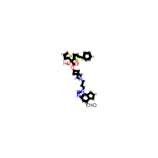 O=CC1=Cc2nnn(CCCN3CC4(CC(OC(=O)[C@@](O)(c5cccs5)c5ccc(-c6ccccc6)s5)C4)C3)c2C2CCCC12